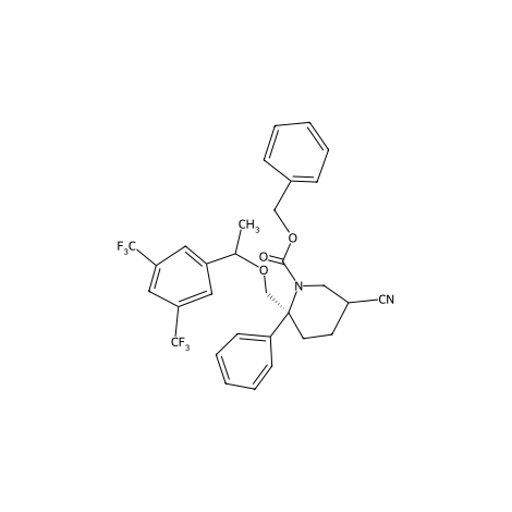 CC(OC[C@@]1(c2ccccc2)CCC(C#N)CN1C(=O)OCc1ccccc1)c1cc(C(F)(F)F)cc(C(F)(F)F)c1